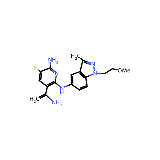 C=C(N)c1cc(F)c(N)nc1Nc1ccc2c(c1)c(C)nn2CCOC